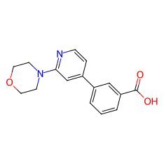 O=C(O)c1cccc(-c2ccnc(N3CCOCC3)c2)c1